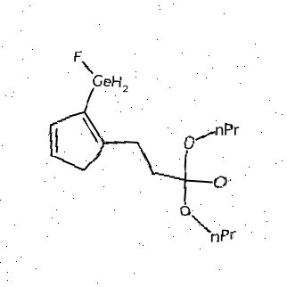 CCCOC([O])(CCC1=[C]([GeH2][F])C=CC1)OCCC